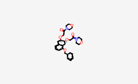 O=C(CO[C@H]1Cc2c(cccc2OCc2ccccc2)C[C@H]1OCC(=O)N1CCOCC1)N1CCOCC1